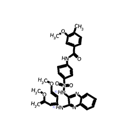 C=C(/C=C(\C=C\OC)Nc1nc2ccccc2nc1NS(=O)(=O)c1ccc(NC(=O)c2ccc(C)c(OC)c2)cc1)OC